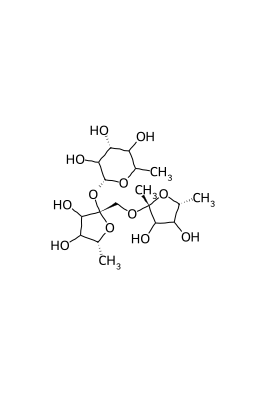 CC1O[C@H](O[C@]2(CO[C@]3(C)O[C@H](C)C(O)C3O)O[C@H](C)C(O)C2O)C(O)[C@H](O)C1O